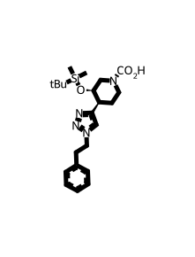 CC(C)(C)[Si](C)(C)O[C@@H]1CN(C(=O)O)CC[C@H]1c1cn(CCc2ccccc2)nn1